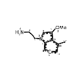 COc1cn(CCN)c2cccc(C)c12